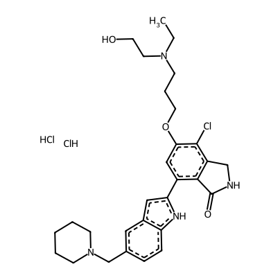 CCN(CCO)CCCOc1cc(-c2cc3cc(CN4CCCCC4)ccc3[nH]2)c2c(c1Cl)CNC2=O.Cl.Cl